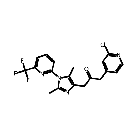 Cc1nc(CC(=O)Cc2ccnc(Cl)c2)c(C)n1-c1cccc(C(F)(F)F)n1